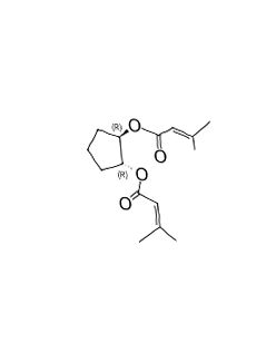 CC(C)=CC(=O)O[C@@H]1CCC[C@H]1OC(=O)C=C(C)C